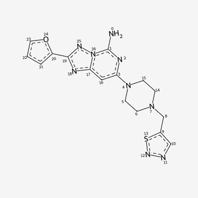 Nc1nc(N2CCN(Cc3cnns3)CC2)cc2nc(-c3ccco3)nn12